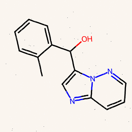 Cc1ccccc1C(O)c1cnc2cccnn12